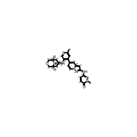 Cc1cc(-c2ccn3nc(Nc4ccc(=O)n(C)n4)cc3c2)c(OC2C[C@H]3COC[C@@H](C2)N3C(=O)O)cn1